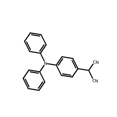 N#CC(C#N)c1ccc(N(c2ccccc2)c2ccccc2)cc1